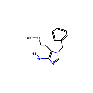 NNc1ncn(Cc2ccccc2)c1CCOC=O